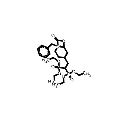 CCOP(=O)(OCC)C(CC1CC[N+]2(Cc3ccccc3)C(=O)OC2C1)P(=O)(OCC)OCC